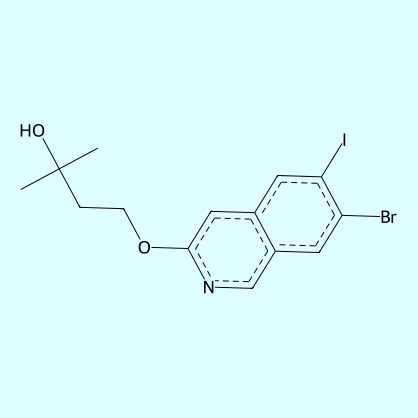 CC(C)(O)CCOc1cc2cc(I)c(Br)cc2cn1